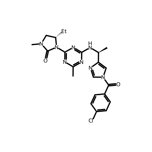 CC[C@H]1CN(C)C(=O)N1c1nc(C)nc(N[C@@H](C)c2cn(C(=O)c3ccc(Cl)cc3)cn2)n1